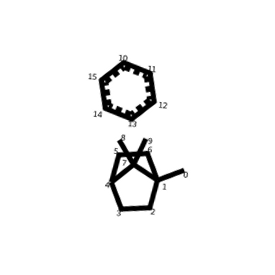 CC12CCC(CC1)C2(C)C.c1ccccc1